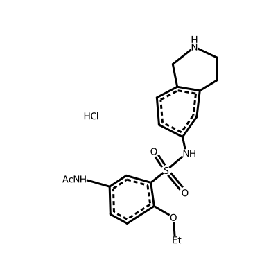 CCOc1ccc(NC(C)=O)cc1S(=O)(=O)Nc1ccc2c(c1)CCNC2.Cl